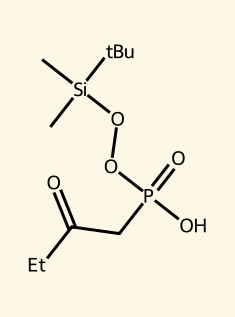 CCC(=O)CP(=O)(O)OO[Si](C)(C)C(C)(C)C